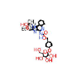 CCOCc1nc2c(NC(=O)OCc3ccc(O[C@H]4O[C@H](CO)[C@@H](O)[C@H](O)[C@@H]4O)cc3)nc3ccccc3c2n1CC(C)(C)O